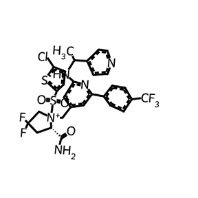 CC(Nc1cc(C[N+]2(S(=O)(=O)c3ccc(Cl)s3)CC(F)(F)C[C@H]2C(N)=O)cc(-c2ccc(C(F)(F)F)cc2)n1)c1ccncc1